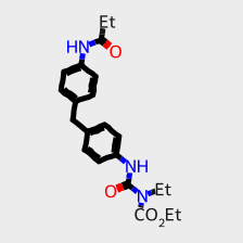 CCOC(=O)N(CC)C(=O)Nc1ccc(Cc2ccc(NC(=O)CC)cc2)cc1